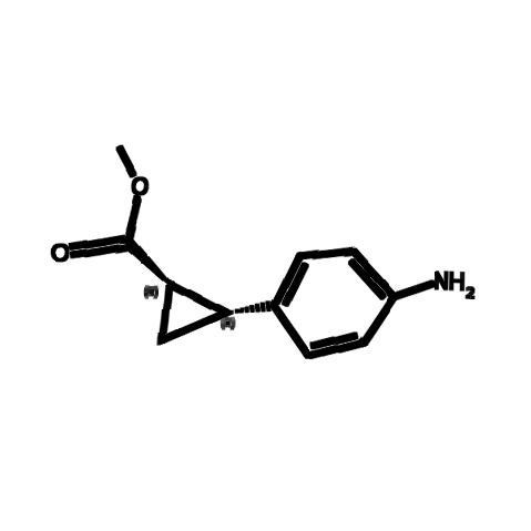 COC(=O)[C@@H]1C[C@H]1c1ccc(N)cc1